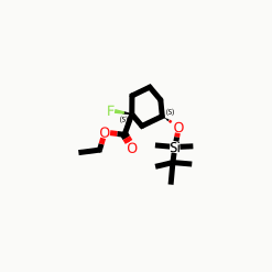 CCOC(=O)[C@]1(F)CCC[C@H](O[Si](C)(C)C(C)(C)C)C1